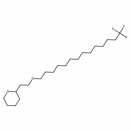 FC(F)(F)CCCCCCCCCCCCCOCCC1CCCCO1